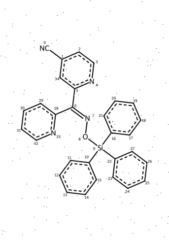 N#Cc1ccnc(C(=NO[Si](c2ccccc2)(c2ccccc2)c2ccccc2)c2ccccn2)c1